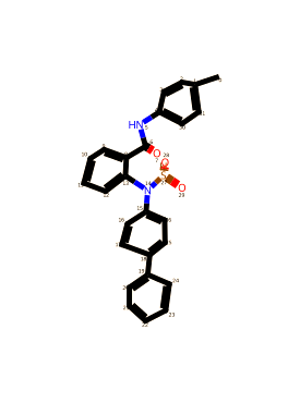 Cc1ccc(NC(=O)c2ccccc2N(c2ccc(-c3ccccc3)cc2)[SH](=O)=O)cc1